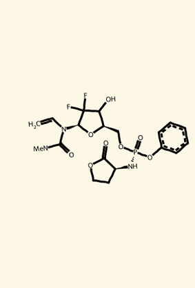 C=CN(C(=O)NC)[C@@H]1O[C@H](CO[P@](=O)(N[C@H]2CCOC2=O)Oc2ccccc2)C(O)C1(F)F